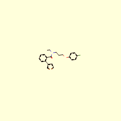 CCN(CCCOc1ccc(F)cc1)C(=O)c1ccccc1-c1ccsc1